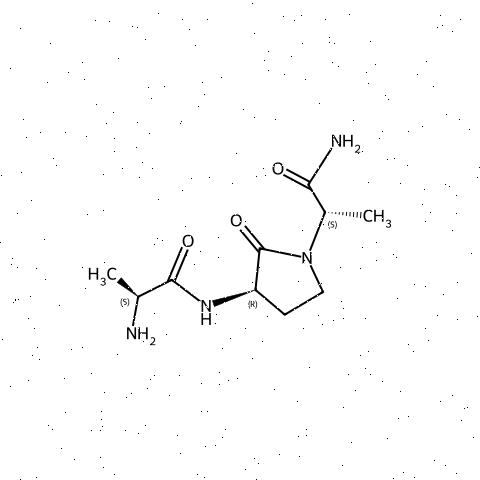 C[C@H](N)C(=O)N[C@@H]1CCN([C@@H](C)C(N)=O)C1=O